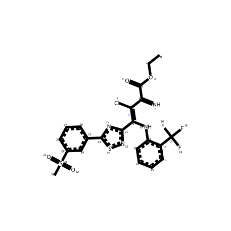 CCOC(=O)C(=N)/C(Cl)=C(\Nc1ccccc1C(F)(F)F)c1nsc(-c2cccc(S(C)(=O)=O)c2)n1